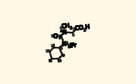 CC(C)N(C(=O)N(C)CC(=O)O)C1CCCCC1